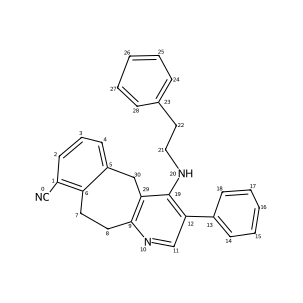 N#Cc1cccc2c1CCc1ncc(-c3ccccc3)c(NCCc3ccccc3)c1C2